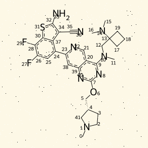 CN1CC[C@@H](COc2nc(N(C)CC3(N(C)C)CCC3)c3cnc(-c4cc(F)c(F)c5sc(N)c(C#N)c45)cc3n2)C1